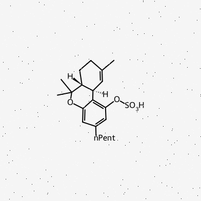 CCCCCc1cc2c(c(OS(=O)(=O)O)c1)[C@@H]1C=C(C)CC[C@H]1C(C)(C)O2